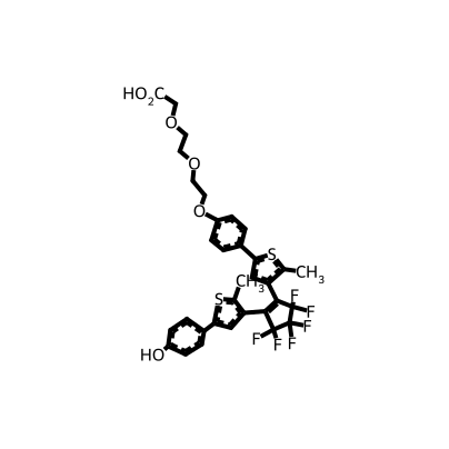 Cc1sc(-c2ccc(O)cc2)cc1C1=C(c2cc(-c3ccc(OCCOCCOCC(=O)O)cc3)sc2C)C(F)(F)C(F)(F)C1(F)F